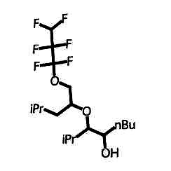 CCCCC(O)C(OC(COC(F)(F)C(F)(F)C(F)F)CC(C)C)C(C)C